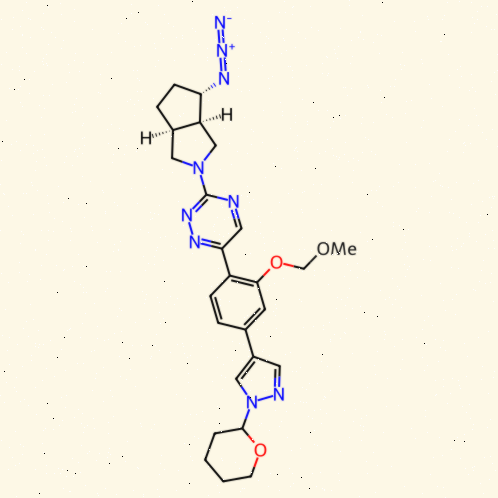 COCOc1cc(-c2cnn(C3CCCCO3)c2)ccc1-c1cnc(N2C[C@H]3CC[C@H](N=[N+]=[N-])[C@H]3C2)nn1